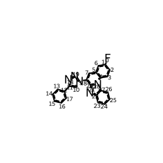 Fc1ccc2c(c1)cc(-n1cc(-c3ccccc3)nn1)c1nc3ccccc3n12